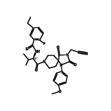 CCc1ccc(F)c(C(=O)N[C@@H](C(=O)N2CCC3(CC2)C(=O)N(CC#N)C(=O)N3c2ccc(OC)cc2)C(C)C)c1